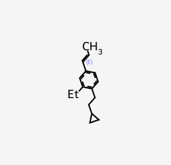 C/C=C/c1ccc(CCC2CC2)c(CC)c1